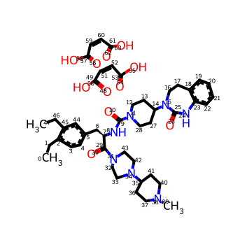 CCc1ccc(C[C@@H](NC(=O)N2CCC(N3CCc4ccccc4NC3=O)CC2)C(=O)N2CCN(C3CCN(C)CC3)CC2)cc1CC.O=C(O)/C=C\C(=O)O.O=C(O)/C=C\C(=O)O